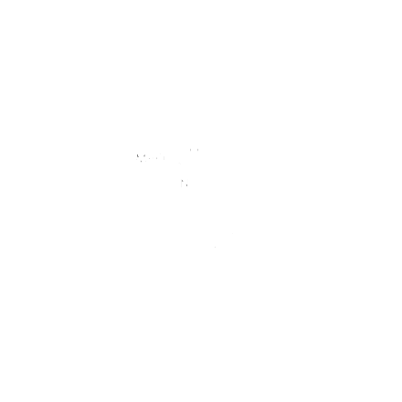 COC(=O)N[C@@H]1CCc2cccc(C)c2C1